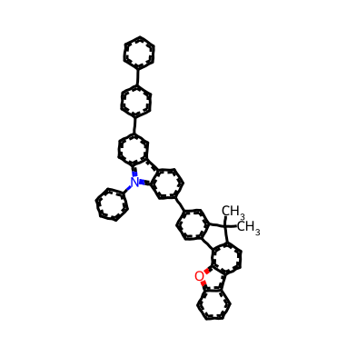 CC1(C)c2cc(-c3ccc4c5cc(-c6ccc(-c7ccccc7)cc6)ccc5n(-c5ccccc5)c4c3)ccc2-c2c1ccc1c2oc2ccccc21